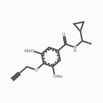 C#CCOc1c(OC)cc(C(=O)NC(C)C2CC2)cc1OC